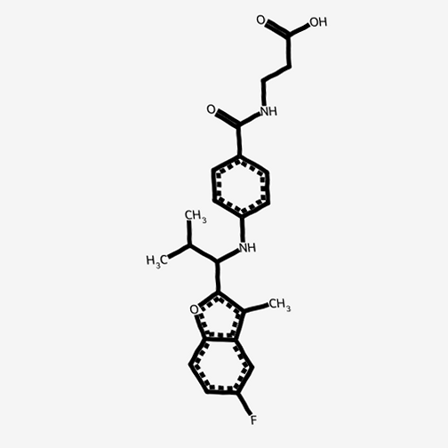 Cc1c(C(Nc2ccc(C(=O)NCCC(=O)O)cc2)C(C)C)oc2ccc(F)cc12